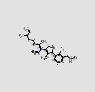 C=CC(C)CCN/C(C)=C(\C=N)C1=C(C)C(c2cccc(CNCC)c2C)NC1